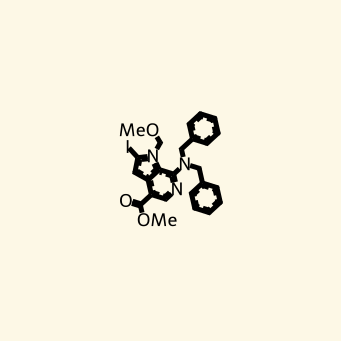 COCn1c(I)cc2c(C(=O)OC)cnc(N(Cc3ccccc3)Cc3ccccc3)c21